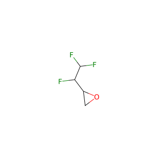 FC(F)C(F)C1CO1